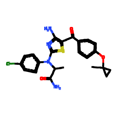 CC(C(N)=O)N(c1ccc(Cl)cc1)c1nc(N)c(C(=O)c2ccc(OC3(C)CC3)cc2)s1